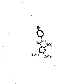 [CH2]Cc1ccc(NC(=O)c2cc(OCC)c(OC)cc2[N+](=O)[O-])cc1